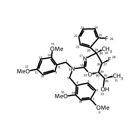 COc1ccc(CN(Cc2ccc(OC)cc2OC)C2=N[C@](C)(c3ccccc3F)[C@@H](F)[C@@H]([C@@H](C)O)O2)c(OC)c1